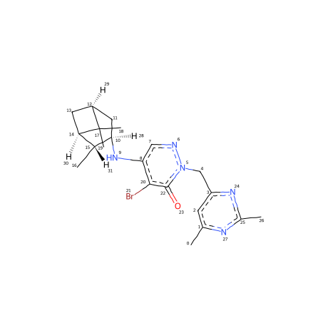 Cc1cc(Cn2ncc(N[C@@H]3C[C@@H]4C[C@H]([C@H]3C)C4(C)C)c(Br)c2=O)nc(C)n1